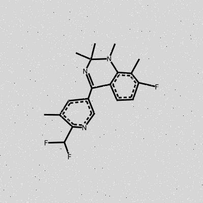 Cc1cc(C2=NC(C)(C)N(C)c3c2ccc(F)c3C)cnc1C(F)F